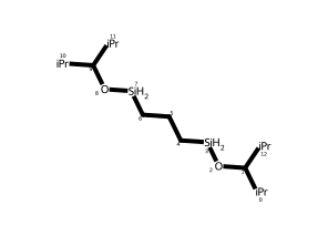 CC(C)C(O[SiH2]CCC[SiH2]OC(C(C)C)C(C)C)C(C)C